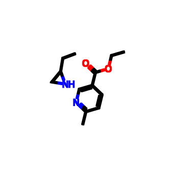 CCC1CN1.CCOC(=O)c1ccc(C)nc1